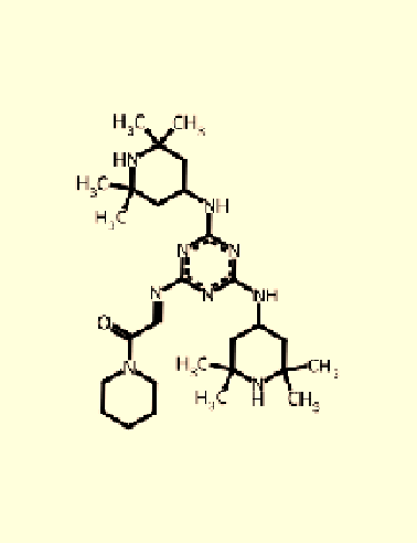 CC1(C)CC(Nc2nc(/N=C/C(=O)N3CCCCC3)nc(NC3CC(C)(C)NC(C)(C)C3)n2)CC(C)(C)N1